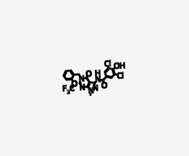 Cn1nc(NC(=O)c2cc(Cl)c(O)c(Cl)c2)c2c(=O)n(Cc3ccccc3OC(F)(F)F)cnc21